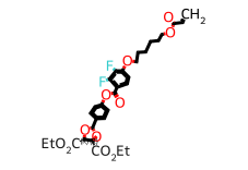 C=CC(=O)OCCCCCCOc1ccc(C(=O)Oc2ccc(C3O[C@@H](C(=O)OCC)[C@H](C(=O)OCC)O3)cc2)c(F)c1F